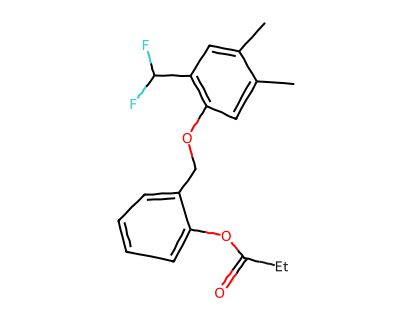 CCC(=O)Oc1ccccc1COc1cc(C)c(C)cc1C(F)F